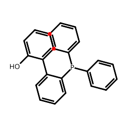 Oc1ccccc1-c1ccccc1P(c1ccccc1)c1ccccc1